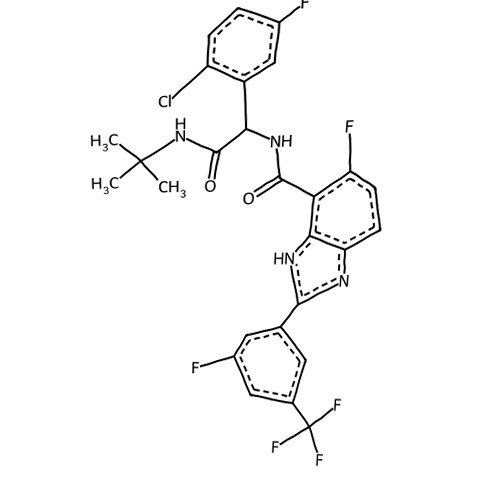 CC(C)(C)NC(=O)C(NC(=O)c1c(F)ccc2nc(-c3cc(F)cc(C(F)(F)F)c3)[nH]c12)c1cc(F)ccc1Cl